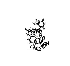 CC(Cc1ccc2c(c1)CC(C(=O)O)(C(=O)O)C2)NCC(O)c1ccccc1